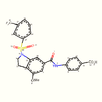 COc1cc(C(=O)Nc2ccc(C(=O)O)cc2)cc2c1CCN2S(=O)(=O)c1cccc(C(F)(F)F)c1